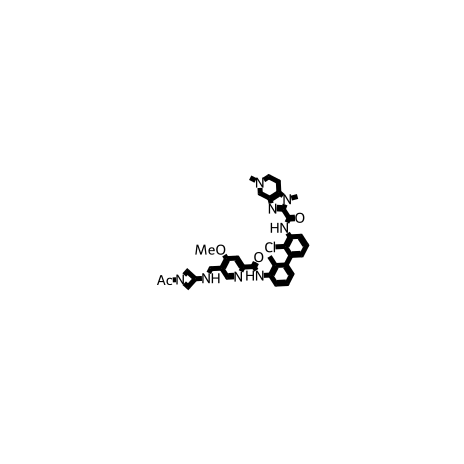 COc1cc(C(=O)Nc2cccc(-c3cccc(NC(=O)c4nc5c(n4C)CCN(C)C5)c3Cl)c2C)ncc1CNC1CN(C(C)=O)C1